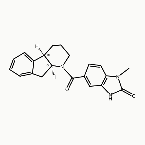 Cn1c(=O)[nH]c2cc(C(=O)N3CCC[C@@H]4c5ccccc5C[C@@H]43)ccc21